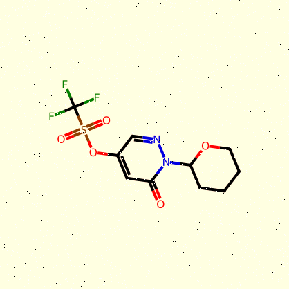 O=c1cc(OS(=O)(=O)C(F)(F)F)cnn1C1CCCCO1